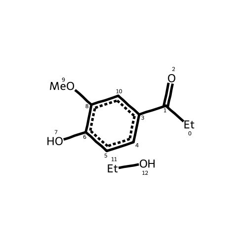 CCC(=O)c1ccc(O)c(OC)c1.CCO